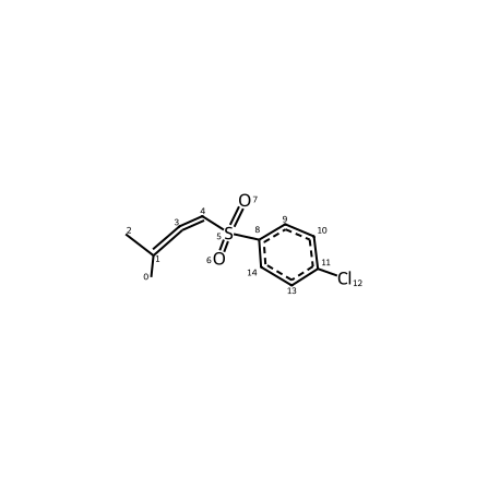 CC(C)=C=CS(=O)(=O)c1ccc(Cl)cc1